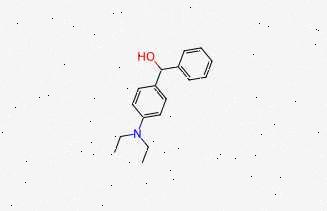 CCN(CC)c1ccc(C(O)c2ccccc2)cc1